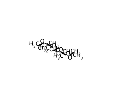 C=C(C)C(=O)OCC(C)(C)C1OCC2(CO1)COC(C(C)(C)COC(=O)C(=C)C)OC2